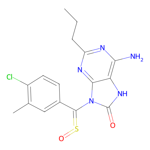 CCCc1nc(N)c2[nH]c(=O)n(C(=S=O)c3ccc(Cl)c(C)c3)c2n1